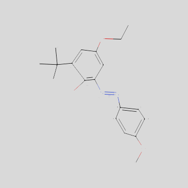 CCOc1cc(/N=N/c2ccc(OC)cc2)c(O)c(C(C)(C)C)c1